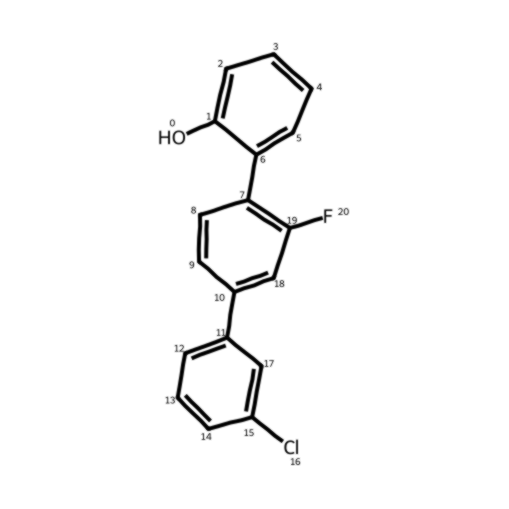 Oc1ccccc1-c1ccc(-c2cccc(Cl)c2)cc1F